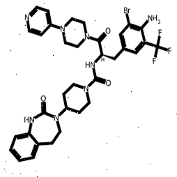 Nc1c(Br)cc(C[C@@H](NC(=O)N2CCC(N3CCc4ccccc4NC3=O)CC2)C(=O)N2CCN(c3ccncc3)CC2)cc1C(F)(F)F